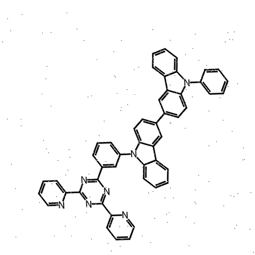 c1ccc(-n2c3ccccc3c3cc(-c4ccc5c(c4)c4ccccc4n5-c4cccc(-c5nc(-c6ccccn6)nc(-c6ccccn6)n5)c4)ccc32)cc1